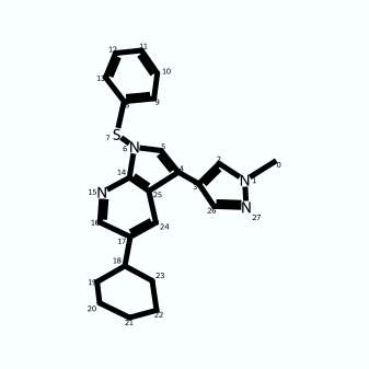 Cn1cc(-c2cn(Sc3ccccc3)c3ncc(C4CCCCC4)cc23)cn1